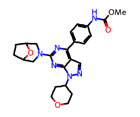 COC(=O)Nc1ccc(-c2nc(N3CC4CCC(C3)O4)nc3c2cnn3C2CCOCC2)cc1